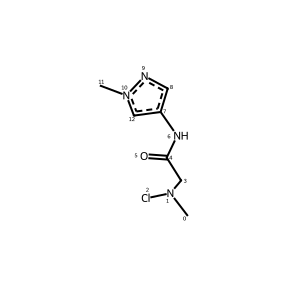 CN(Cl)CC(=O)Nc1cnn(C)c1